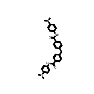 CN(C)c1ccc(NC(=O)c2ccc(Cc3ccc(C(=O)Nc4ccc(N(C)C)cc4)cc3)cc2)cc1